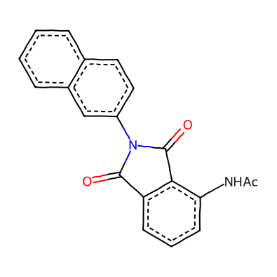 CC(=O)Nc1cccc2c1C(=O)N(c1ccc3ccccc3c1)C2=O